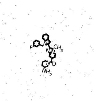 Cc1c(-c2cc3ccccc3n2Cc2cccc(F)c2)nc2cc(C(=O)N3CCCC(N)C3)ccn12